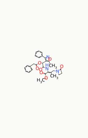 COC(=O)C(NC(=O)C(OC(=O)Cc1ccccc1)c1c(-c2ccccc2)noc1C)=C(C)CN1CCC1=O